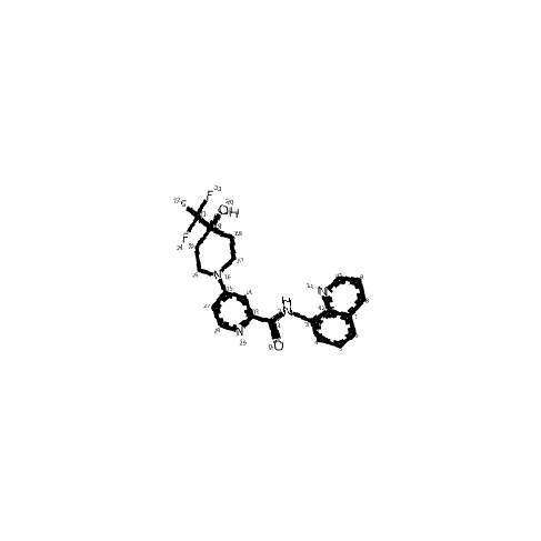 O=C(Nc1cccc2cccnc12)c1cc(N2CCC(O)(C(F)(F)F)CC2)ccn1